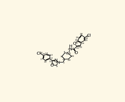 O=C(NN1CCC(CN2COC(c3ccc(Cl)cc3)=N2)CC1)c1cc2cc(Cl)ccc2o1